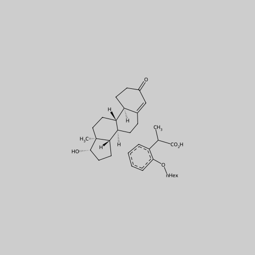 CCCCCCOc1ccccc1C(C)C(=O)O.C[C@]12CC[C@H]3[C@@H](CCC4=CC(=O)CC[C@@H]43)[C@@H]1CC[C@@H]2O